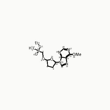 CCOP(C)(=O)COC1CCC(n2cnc3c(OC)ncnc32)O1